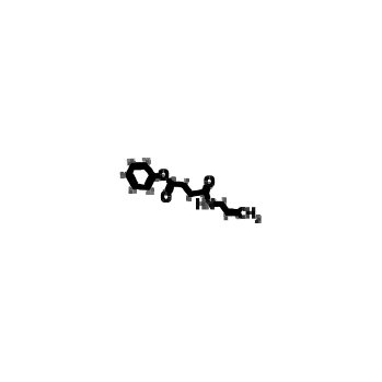 C=CCNC(=O)CCC(=O)Oc1ccccc1